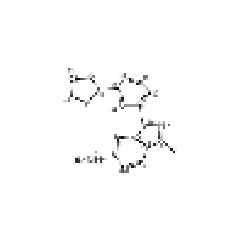 CC(=O)Nc1cc2c(cn1)c(C)nn2-c1cccc([C@H]2CCOC2)n1